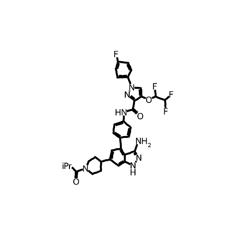 CC(C)C(=O)N1CCC(c2cc(-c3ccc(NC(=O)c4nn(-c5ccc(F)cc5)cc4OC(F)C(F)F)cc3)c3c(N)n[nH]c3c2)CC1